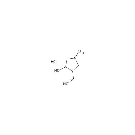 CN1CC(O)C(CO)C1.Cl